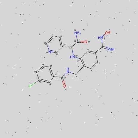 N=C(NO)c1ccc(CNC(=O)c2cccc(Cl)c2)c(NC(C(N)=O)c2cccnc2)c1